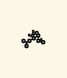 CC1(C)c2cc(-c3ccc(N(c4ccccc4)c4ccccc4)cc3)ccc2-c2c(-c3cccc4c3sc3ccccc34)ccc3cccc1c23